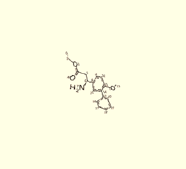 CCOC(=O)C[C@H](N)c1ccc(OC)c(-c2ccccc2)c1